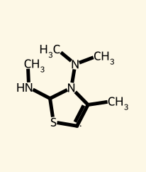 CNC1S[C]=C(C)N1N(C)C